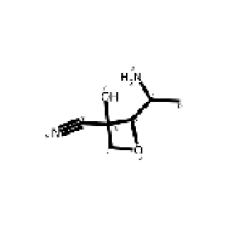 CC(N)C1OCC1(O)C#N